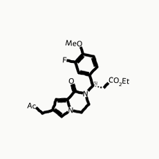 CCOC(=O)C[C@@H](c1ccc(OC)c(F)c1)N1CCn2cc(CC(C)=O)cc2C1=O